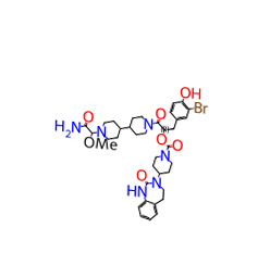 COC(C(N)=O)N1CCC(C2CCN(C(=O)[C@@H](Cc3ccc(O)c(Br)c3)OC(=O)N3CCC(N4CCc5ccccc5NC4=O)CC3)CC2)CC1